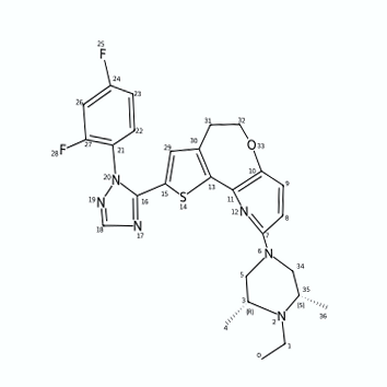 CCN1[C@H](C)CN(c2ccc3c(n2)-c2sc(-c4ncnn4-c4ccc(F)cc4F)cc2CCO3)C[C@@H]1C